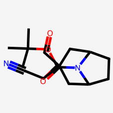 CC(C)(C)OC(=O)N1C2CCC1CC(C=O)(CC#N)C2